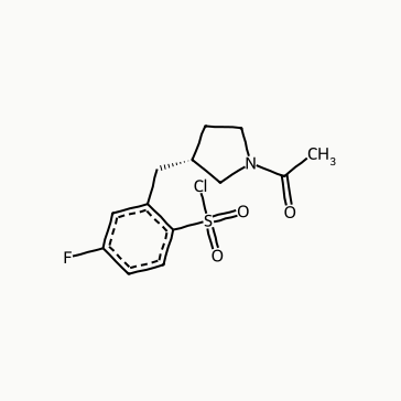 CC(=O)N1CC[C@@H](Cc2cc(F)ccc2S(=O)(=O)Cl)C1